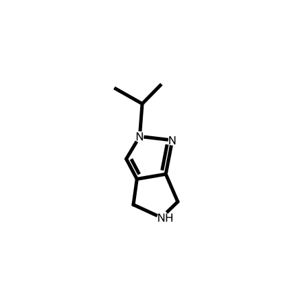 CC(C)n1cc2c(n1)CNC2